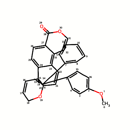 COc1ccc(C2(c3ccccc3)C=CC34C=CCOC3(C=Cc3c4ccc4c(=O)occc34)C2)cc1